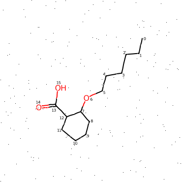 CCCCCCOC1CCCCC1C(=O)O